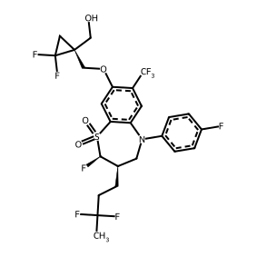 CC(F)(F)CC[C@@H]1CN(c2ccc(F)cc2)c2cc(C(F)(F)F)c(OC[C@]3(CO)CC3(F)F)cc2S(=O)(=O)[C@@H]1F